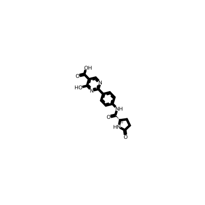 O=C1CC[C@@H](C(=O)Nc2ccc(-c3ncc(C(=O)O)c(O)n3)cc2)N1